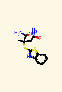 CC(CC(N)=O)(Sc1nc2ccccc2s1)C(N)=O